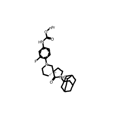 CCCOC(=O)Nc1ccc(N2CCC[C@@]3(CCN(C45CC6CC(C4)C(O)C(C6)C5)C3=O)C2)c(F)c1